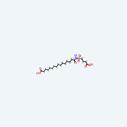 O=C(O)CCCCCCCCCCCCCCC(=O)NS(=O)(=O)CCCC(=O)O